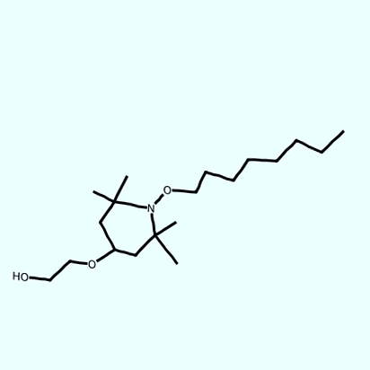 CCCCCCCCON1C(C)(C)CC(OCCO)CC1(C)C